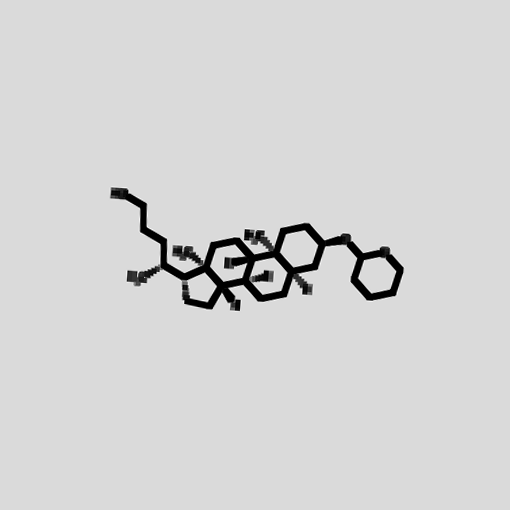 C[C@H](CCCO)[C@H]1CC[C@H]2[C@@H]3CC[C@@H]4C[C@H](OC5CCCCO5)CC[C@]4(C)[C@H]3CC[C@]12C